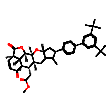 COC(=O)C[C@H]1[C@@H]2CC3=C(C)[C@H](c4ccc(-c5cc(C(C)(C)C)cc(C(C)(C)C)c5)cc4)C[C@H]3O[C@@H]2[C@@H]2OC(=O)[C@]3(C)C=CC(=O)[C@@]1(C)[C@@H]23